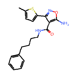 Cc1ccc(-c2noc(N)c2C(=O)NCCCCc2ccccc2)s1